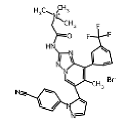 Cc1c(-c2ccnn2-c2ccc(C#N)cc2)cn2nc(NC(=O)C[N+](C)(C)C)nc2c1-c1cccc(C(F)(F)F)c1.[Br-]